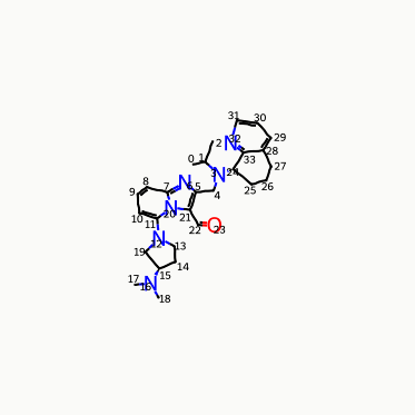 CC(C)N(Cc1nc2cccc(N3CC[C@@H](N(C)C)C3)n2c1C=O)[C@H]1CCCc2cccnc21